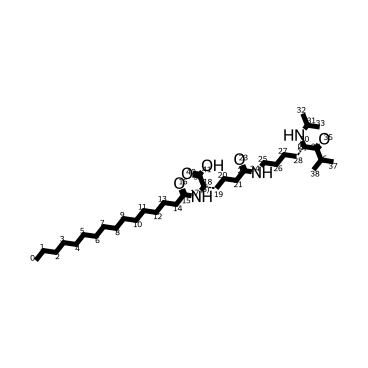 CCCCCCCCCCCCCCCC(=O)N[C@@H](CCCC(=O)NCCCC[C@H](NC(C)C)C(=O)C(C)C)C(=O)O